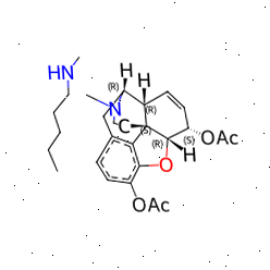 CC(=O)Oc1ccc2c3c1O[C@H]1[C@@H](OC(C)=O)C=C[C@H]4[C@@H](C2)N(C)CC[C@@]341.CCCCCNC